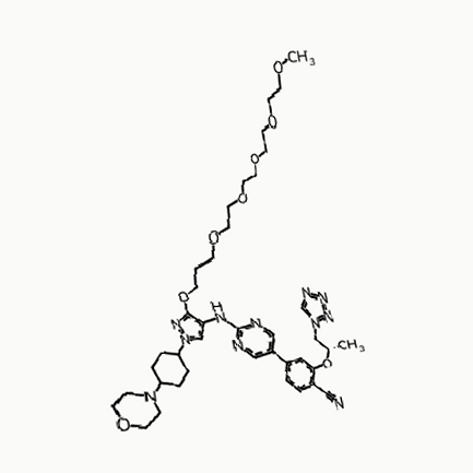 COCCOCCOCCOCCOCCCOc1nn(C2CCC(N3CCOCC3)CC2)cc1Nc1ncc(-c2ccc(C#N)c(O[C@@H](C)Cn3cnnn3)c2)cn1